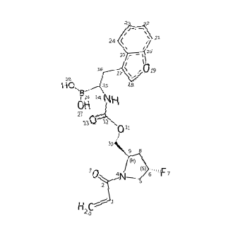 C=CC(=O)N1C[C@@H](F)C[C@@H]1COC(=O)NC(Cc1coc2ccccc12)B(O)O